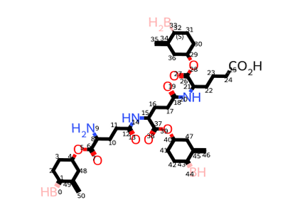 B=C1CCC(OC(=O)C(N)CCC(=O)NC(CCC(=O)NC(CCCC(=O)O)C(=O)OC2CC[C@H](B)C(=C)C2)C(=O)OC2CCC(=B)C(=C)C2)CC1=C